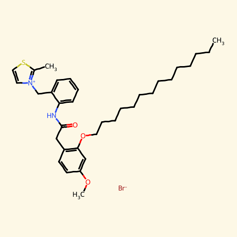 CCCCCCCCCCCCCCOc1cc(OC)ccc1CC(=O)Nc1ccccc1C[n+]1ccsc1C.[Br-]